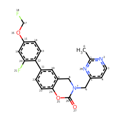 Cc1nccc(CN2Cc3cc(-c4ccc(OCF)cc4F)ccc3OC2=O)n1